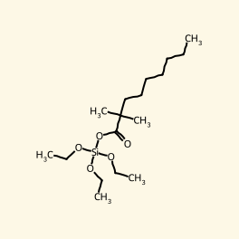 CCCCCCCC(C)(C)C(=O)O[Si](OCC)(OCC)OCC